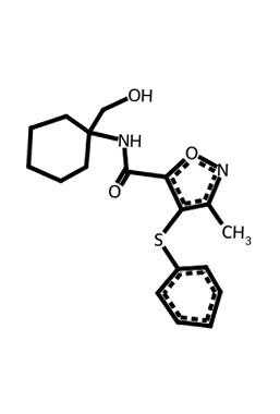 Cc1noc(C(=O)NC2(CO)CCCCC2)c1Sc1ccccc1